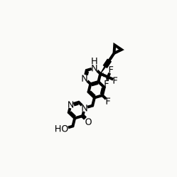 O=c1c(CO)cncn1Cc1cc2c(cc1F)[C@@](C#CC1CC1)(C(F)(F)F)NC=N2